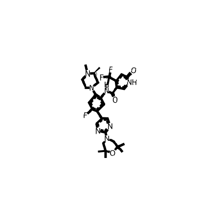 C[C@H]1CN(c2cc(F)c(-c3cnc(N4CC(C)(C)OC(C)(C)C4)nc3)cc2NC(=O)c2c[nH]c(=O)cc2C(F)(F)F)CCN1C